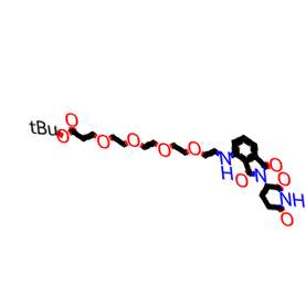 CC(C)(C)OC(=O)CCOCCOCCOCCOCCNc1cccc2c1C(=O)N([C@H]1CCC(=O)NC1=O)C2=O